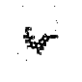 CCc1nc2cc(NC)ncc2cc1-c1cc(NC(=O)NCCC(C)(C)C)c(F)cc1C